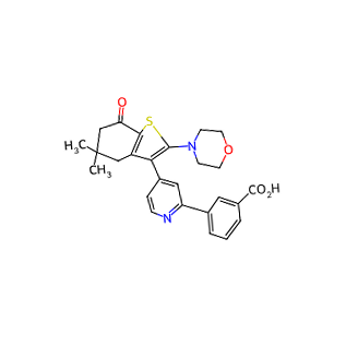 CC1(C)CC(=O)c2sc(N3CCOCC3)c(-c3ccnc(-c4cccc(C(=O)O)c4)c3)c2C1